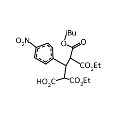 CCOC(=O)C(C(=O)O)C(c1ccc([N+](=O)[O-])cc1)C(C(=O)OCC)C(=O)OC(C)CC